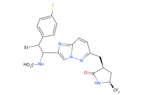 CCC(c1ccc(F)cc1)C(NC(=O)O)c1cn2nc(C[C@H]3C[C@@H](C(F)(F)F)NC3=O)ccc2n1